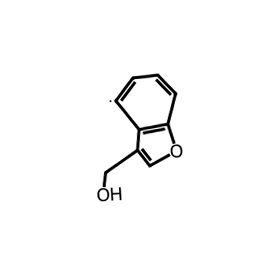 OCc1coc2ccc[c]c12